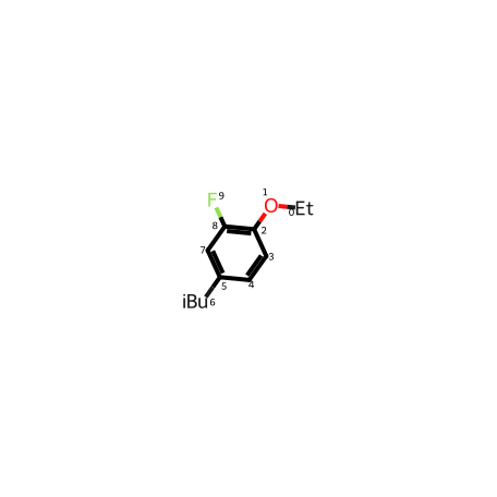 CCOc1ccc(C(C)CC)cc1F